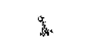 CC(C)(Br)C(=O)NCCOCc1ccccc1